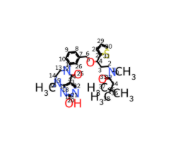 CN(CCC(OCc1cccc(N2CCN(C)c3nc(O)ncc3C2=O)c1)c1cccs1)C(=O)CC(C)(C)C